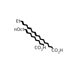 CCC=CCC=CCC=CCCCCCCCC(=O)O.CCCCCCCCC=CCCCCCCCC(=O)O